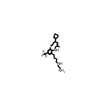 C=C/C=C(\C=C(\C)CNc1c(C)cc(C(F)(F)F)cc1CCCCNCCN)C1=CCCC1